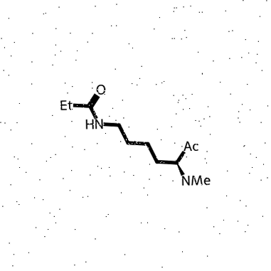 CCC(=O)NCCCC[C@H](NC)C(C)=O